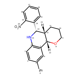 CC(C)c1ccc2c(c1)[C@H]1OCCC[C@H]1[C@@H](c1ccccc1[N+](=O)[O-])N2